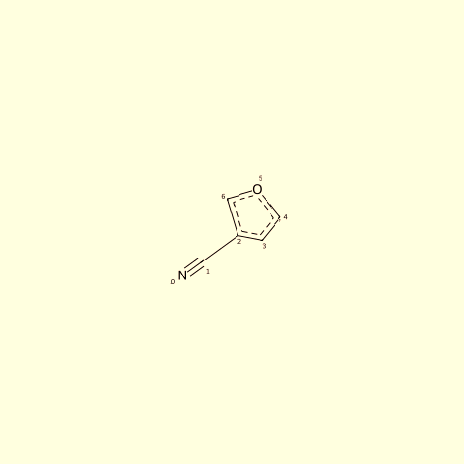 N#Cc1c[c]oc1